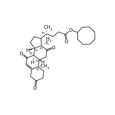 C[C@H](CCC(=O)OC1CCCCCCC1)C1CC[C@H]2[C@@H]3C(=O)C=C4CC(=O)CC[C@]4(C)[C@H]3CC(=O)[C@]12C